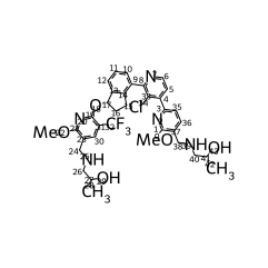 COc1nc(-c2ccnc(-c3cccc4c3CC[C@@H]4Oc3nc(OC)c(CNC[C@H](C)O)cc3C(F)(F)F)c2Cl)ccc1CNC[C@@H](C)O